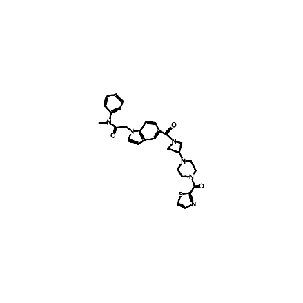 CN(C(=O)Cn1ccc2cc(C(=O)N3CC(N4CCN(C(=O)c5nccs5)CC4)C3)ccc21)c1ccccc1